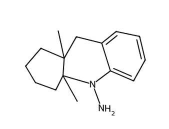 CC12CCCCC1(C)N(N)c1ccccc1C2